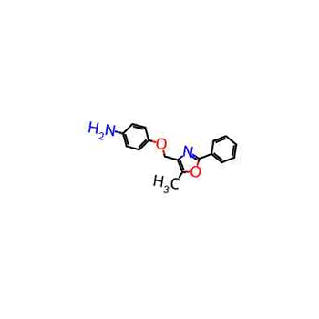 Cc1oc(-c2ccccc2)nc1COc1ccc(N)cc1